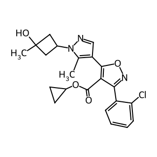 Cc1c(-c2onc(-c3ccccc3Cl)c2C(=O)OC2CC2)cnn1C1CC(C)(O)C1